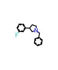 Fc1cccc(C2CCN(Cc3ccccc3)C2)c1